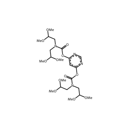 COC(CN(CC(OC)OC)C(=O)Oc1cc(OC(=O)N(CC(OC)OC)CC(OC)OC)ncn1)OC